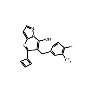 Oc1c(Cc2ccc(F)c(C(F)(F)F)c2)c(C2=CC=C2)nc2ccnn12